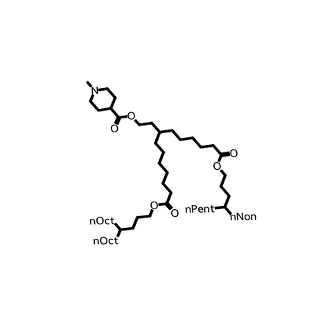 CCCCCCCCCC(CCCCC)CCCOC(=O)CCCCCC(CCCCCCC(=O)OCCCC(CCCCCCCC)CCCCCCCC)CCOC(=O)C1CCN(C)CC1